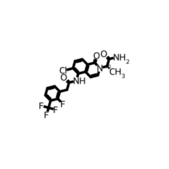 C[C@H](C(N)=O)n1ccc2c(NC(=O)Cc3cccc(C(F)(F)F)c3F)c(Cl)ccc2c1=O